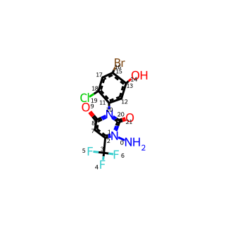 Nn1c(C(F)(F)F)cc(=O)n(-c2cc(O)c(Br)cc2Cl)c1=O